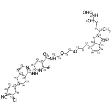 CC(CCC(=O)NC=O)N1Cc2c(CCCOCCOCCNC(=O)c3ccc(Nc4ncnc5c4CCN(c4ccc(C#N)c(Cl)c4)C5)nc3F)cccc2C1=O